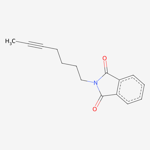 CC#CCCCCN1C(=O)c2ccccc2C1=O